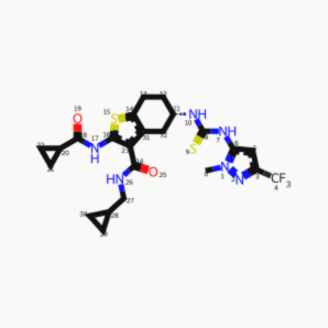 Cn1nc(C(F)(F)F)cc1NC(=S)N[C@H]1CCc2sc(NC(=O)C3CC3)c(C(=O)NCC3CC3)c2C1